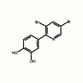 Oc1ccc(-c2ncc(Br)cc2Br)cc1O